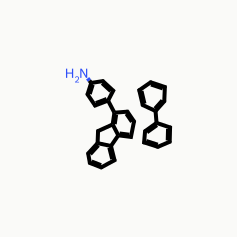 Nc1ccc(-c2cccc3c2Cc2ccccc2-3)cc1.c1ccc(-c2ccccc2)cc1